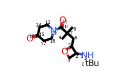 CC(C)(C)NC1COC1CC(C)(C)C(=O)N1CCC(=O)CC1